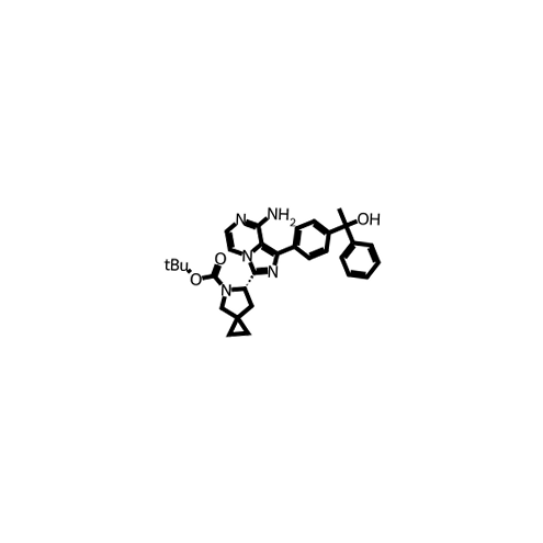 CC(C)(C)OC(=O)N1CC2(CC2)C[C@H]1c1nc(-c2ccc(C(C)(O)c3ccccc3)cc2)c2c(N)nccn12